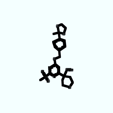 COC1(c2cc(OCc3ccc(C4(C)OCCO4)cc3)nc(S(C)(=O)=O)n2)CCOCC1